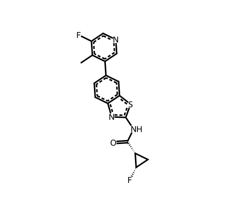 Cc1c(F)cncc1-c1ccc2nc(NC(=O)[C@@H]3C[C@@H]3F)sc2c1